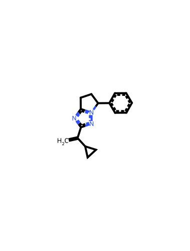 C=C(c1nc2n(n1)C(c1ccccc1)CC2)C1CC1